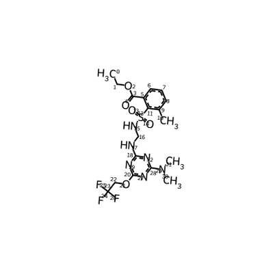 CCOC(=O)c1cccc(C)c1S(=O)(=O)NCNc1nc(OCC(F)(F)F)nc(N(C)C)n1